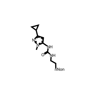 CCCCCCCCCCCNC(=O)Nc1cc(C2CC2)nn1C